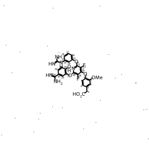 COc1cc(CC(=O)O)ccc1Oc1c(F)c(Oc2cccc(NC(=N)N)c2)nc(Oc2cc(C(=N)N)ccc2O)c1F